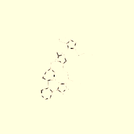 CCCCc1cn(-c2c(CC)ccn2C(C)C)c(=O)n1Cc1ccc(-c2ccccc2-c2nnn[nH]2)nc1